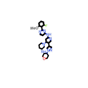 COc1cccc(F)c1-c1nccc(Nc2cc(N3CCC[C@@H](N)C3)c(-c3cnn(C4CCOCC4)c3)cn2)n1